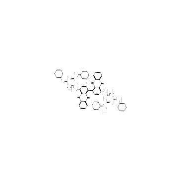 O=C1c2ccccc2C(=O)c2c(-c3ccc(Nc4nc(NC5CCCCC5)nc(NC5CCCCC5)n4)c4c3C(=O)c3ccccc3C4=O)ccc(Nc3nc(NC4CCCCC4)nc(NC4CCCCC4)n3)c21